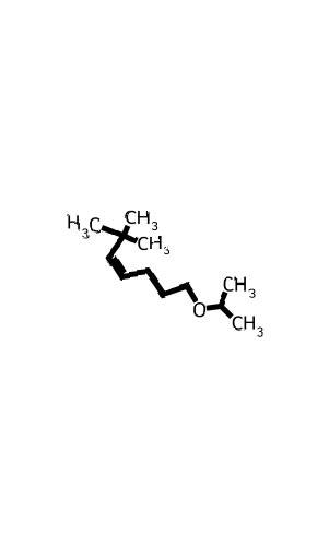 CC(C)OCCC/C=C\C(C)(C)C